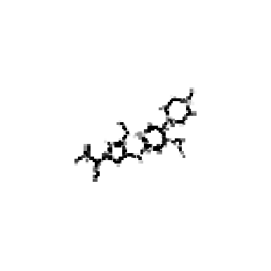 CCn1nc(C(=O)NC)cc1Sc1cc(OC)c(N2CCN(C)CC2)cn1